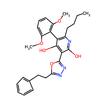 CCCCc1nc(O)c(-c2nnc(CCc3ccccc3)o2)c(O)c1-c1c(OC)cccc1OC